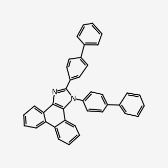 c1ccc(-c2ccc(-c3nc4c5ccccc5c5ccccc5c4n3-c3ccc(-c4ccccc4)cc3)cc2)cc1